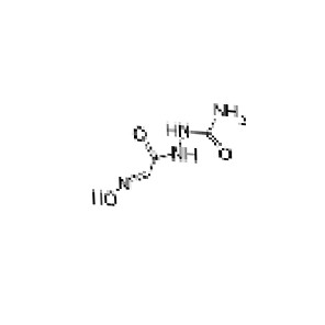 NC(=O)NNC(=O)/C=N/O